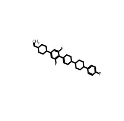 C=CC1CCC(c2cc(F)c(C3=CCC(C4CCC(c5ccc(F)cc5)CC4)CC3)c(F)c2)CC1